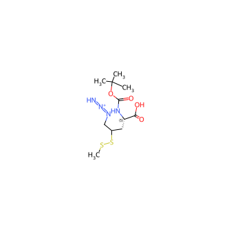 CSSC(CN=[N+]=N)C[C@H](NC(=O)OC(C)(C)C)C(=O)O